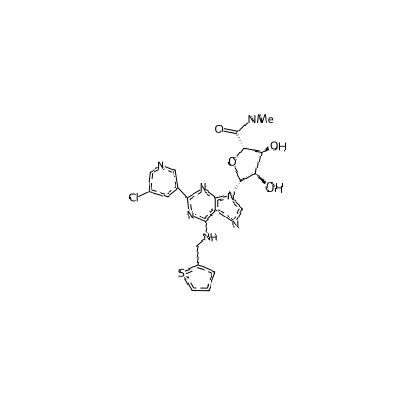 CNC(=O)[C@H]1O[C@@H](n2cnc3c(NCc4cccs4)nc(-c4cncc(Cl)c4)nc32)[C@H](O)[C@@H]1O